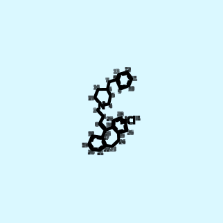 C(CCN1CCC(Cc2ccccc2)CC1)=C1c2ccccc2CCc2ccccc21.Cl